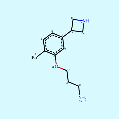 CC(C)(C)c1ccc(C2CNC2)cc1OCCCN